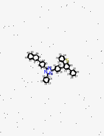 C1=C(c2ccc(-c3nc(-c4ccccc4)nc(-c4ccc(-c5cc(-c6ccccc6)cc6sc7ccccc7c56)cc4)n3)cc2)CCc2ccccc21